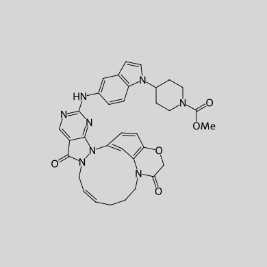 COC(=O)N1CCC(n2ccc3cc(Nc4ncc5c(=O)n6n(c5n4)-c4ccc5c(c4)N(CCC/C=C\C6)C(=O)CO5)ccc32)CC1